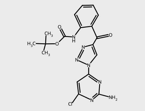 CC(C)(C)OC(=O)Nc1ccccc1C(=O)c1cn(-c2cc(Cl)nc(N)n2)nn1